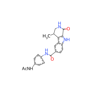 CC(=O)Nc1ccc(NC(=O)c2ccc3[nH]c4c(c3c2)C(C)CNC4=O)cc1